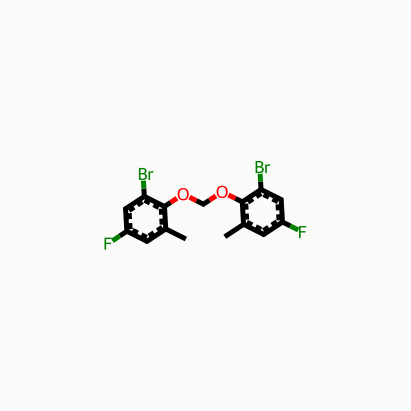 Cc1cc(F)cc(Br)c1OCOc1c(C)cc(F)cc1Br